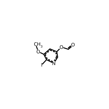 COc1cc(OC=O)cnc1I